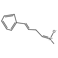 C[N+]([O-])=CCC=Cc1ccccc1